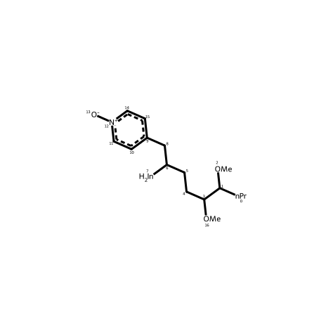 CCCC(OC)C(CC[CH]([InH2])Cc1cc[n+]([O-])cc1)OC